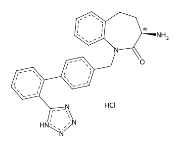 Cl.N[C@@H]1CCc2ccccc2N(Cc2ccc(-c3ccccc3-c3nnn[nH]3)cc2)C1=O